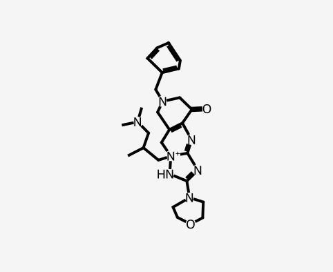 CC(CN(C)C)C[N+]12CC3=C(N=C1N=C(N1CCOCC1)N2)C(=O)CN(Cc1ccccc1)C3